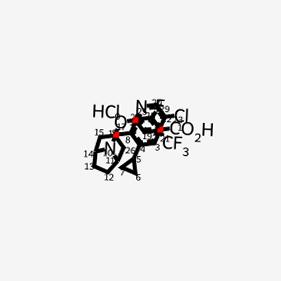 Cl.O=C(O)c1cc(C2CC2)c(CN2C3CCC2CC(Oc2cc(C(F)(F)F)c(Cl)cn2)C3)cc1F